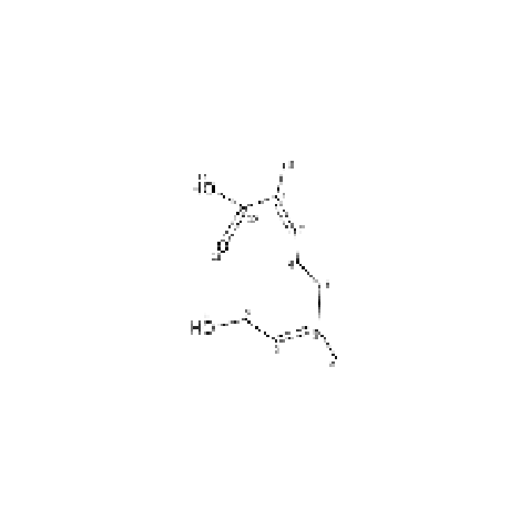 CC(=CCO)CCC=C(C)C(=O)O